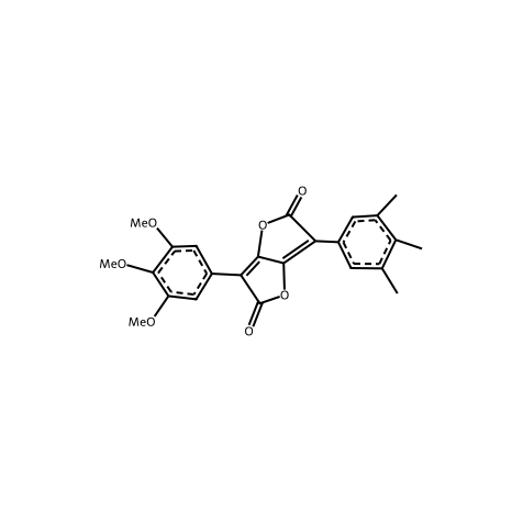 COc1cc(C2=C3OC(=O)C(c4cc(C)c(C)c(C)c4)=C3OC2=O)cc(OC)c1OC